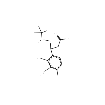 CC(C)(C)[S+]([O-])N[C@@](C)(CC(=O)O)c1ccc(F)c(N)c1Cl